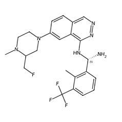 Cc1c([C@@H](N)Nc2nncc3ccc(N4CCN(C)C(CF)C4)cc23)cccc1C(F)(F)F